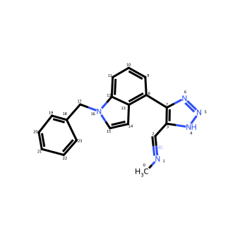 C/N=C/c1[nH]nnc1-c1cccc2c1ccn2Cc1ccccc1